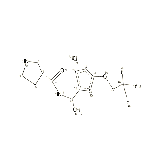 CC(NC(=O)[C@@H]1CCNC1)c1ccc(OCC(F)(F)F)s1.Cl